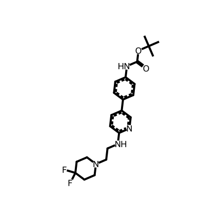 CC(C)(C)OC(=O)Nc1ccc(-c2ccc(NCCN3CCC(F)(F)CC3)nc2)cc1